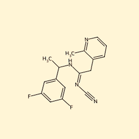 Cc1ncccc1C/C(=N\C#N)NC(C)c1cc(F)cc(F)c1